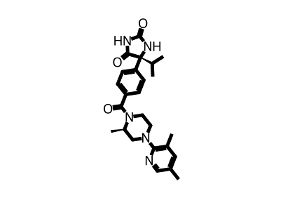 Cc1cnc(N2CCN(C(=O)c3ccc([C@@]4(C(C)C)NC(=O)NC4=O)cc3)[C@H](C)C2)c(C)c1